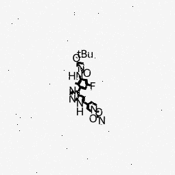 Cc1c(NC(=O)N2CC(OC(C)(C)C)C2)cc(F)cc1-c1ncnc2[nH]c(C3=CCN(OC(=O)N(C)C)CC3)cc12